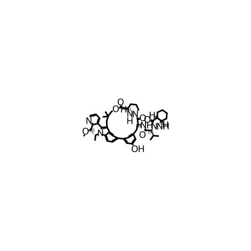 CCn1c(-c2cccnc2[C@H](C)OC)c2c3cc(ccc31)-c1cc(O)cc(c1)C[C@H](NC(=O)[C@H](C(C)C)N1N[C@H]3CCCC[C@@H]3C1=O)C(=O)N1CCC[C@H](N1)C(=O)OCC(C)(C)C2